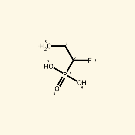 [CH2]CC(F)P(=O)(O)O